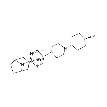 CC(C)N1CC2CCC(C1)N2c1ncc(C2CCN([C@H]3CC[C@H](C(C)C)CC3)CC2)cn1